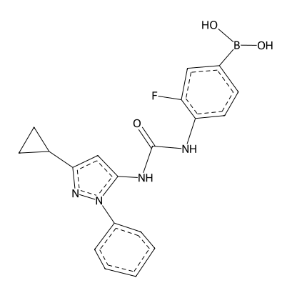 O=C(Nc1ccc(B(O)O)cc1F)Nc1cc(C2CC2)nn1-c1ccccc1